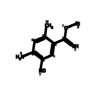 CCOC(=N)c1cc(N=O)c(N)cc1C